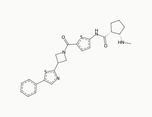 CN[C@H]1CCC[C@H]1C(=O)Nc1ccc(C(=O)N2CC(c3ncc(-c4ccccc4)s3)C2)s1